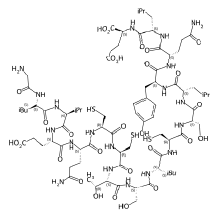 CC[C@H](C)[C@H](NC(=O)CN)C(=O)N[C@H](C(=O)N[C@@H](CCC(=O)O)C(=O)N[C@@H](CCC(N)=O)C(=O)N[C@@H](CS)C(=O)N[C@@H](CS)C(=O)N[C@H](C(=O)N[C@@H](CO)C(=O)N[C@H](C(=O)N[C@@H](CS)C(=O)N[C@@H](CO)C(=O)N[C@@H](CC(C)C)C(=O)N[C@@H](Cc1ccc(O)cc1)C(=O)N[C@@H](CCC(N)=O)C(=O)N[C@@H](CC(C)C)C(=O)N[C@@H](CCC(=O)O)C(=O)O)[C@@H](C)CC)[C@@H](C)O)C(C)C